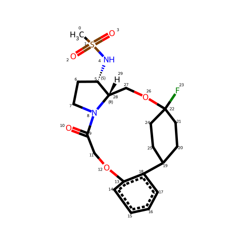 CS(=O)(=O)N[C@H]1CCN2C(=O)COc3ccccc3C3CCC(F)(CC3)OC[C@@H]12